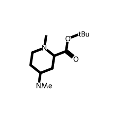 CNC1CCN(C)C(C(=O)OC(C)(C)C)C1